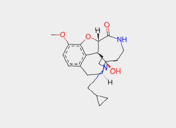 COc1ccc2c3c1O[C@@H]1C(=O)NCC[C@]4(O)[C@H](C2)N(CC2CC2)CC[C@@]314